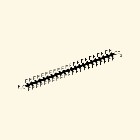 FC(F)(F)C(F)(F)C(F)(F)C(F)(F)C(F)(F)C(F)(F)C(F)(F)C(F)(F)C(F)(F)C(F)(F)C(F)(F)C(F)(F)C(F)(F)C(F)(F)C(F)(F)C(F)(F)C(F)(F)C(F)(F)C(F)(F)C(F)(F)C(F)(F)C(F)(F)C(F)(F)C(F)(F)F